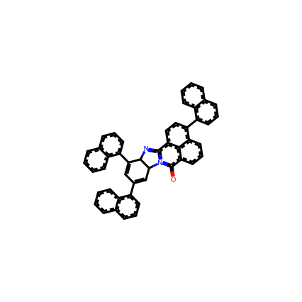 O=c1c2cccc3c(-c4cccc5ccccc45)ccc(c4n1C1C=C(c5cccc6ccccc56)C=C(c5cccc6ccccc56)C1N=4)c32